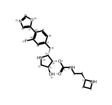 O=C(NCC[C@@H]1CCN1)O[C@@H]1[C@@H](O)CN[C@@H]1Cc1ccc(-c2cnco2)c(F)c1